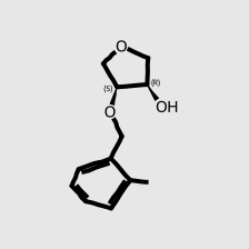 Cc1ccccc1CO[C@H]1COC[C@H]1O